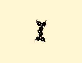 Fc1ccc2c(c1)c1cc(F)ccc1n2-c1ccc2c(c1)CCc1cc(-n3c4ccc(F)cc4c4cc(F)ccc43)ccc1-2